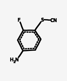 N#CSc1ccc(N)cc1F